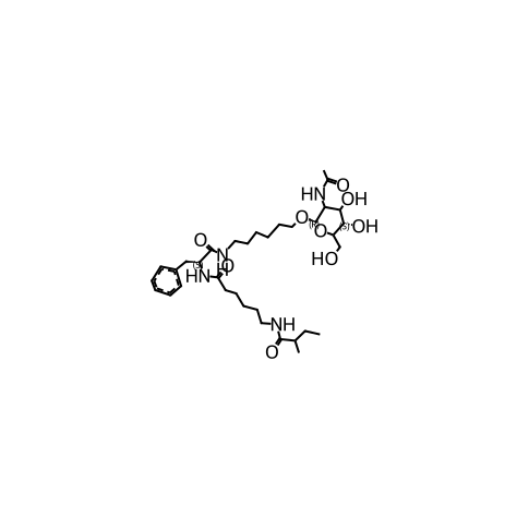 CCC(C)C(=O)NCCCCCC(=O)N[C@@H](Cc1ccccc1)C(=O)NCCCCCCO[C@@H]1OC(CO)[C@@H](O)C(O)C1NC(C)=O